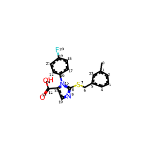 Cc1cccc(CSc2ncc(C(=O)O)n2-c2ccc(F)cc2)c1